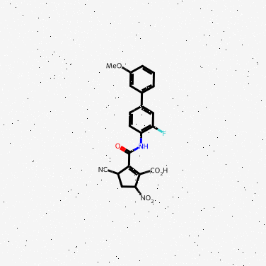 COc1cccc(-c2ccc(NC(=O)C3=C(C(=O)O)C([N+](=O)[O-])CC3C#N)c(F)c2)c1